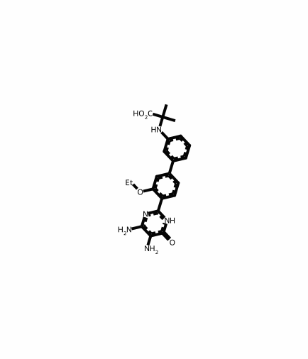 CCOc1cc(-c2cccc(NC(C)(C)C(=O)O)c2)ccc1-c1nc(N)c(N)c(=O)[nH]1